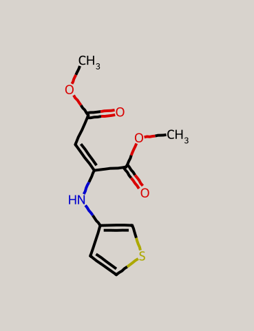 COC(=O)C=C(Nc1ccsc1)C(=O)OC